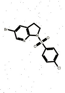 O=S(=O)(c1ccc(Cl)cc1)N1CCc2cc(Br)cnc21